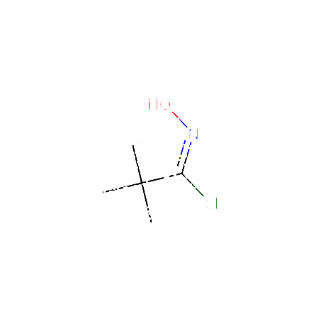 CC(C)(C)/C(Cl)=N\O